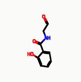 O=CCNC(=O)c1ccccc1O